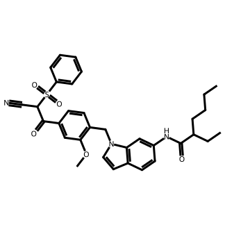 CCCCC(CC)C(=O)Nc1ccc2ccn(Cc3ccc(C(=O)C(C#N)S(=O)(=O)c4ccccc4)cc3OC)c2c1